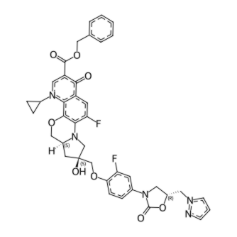 O=C(OCc1ccccc1)c1cn(C2CC2)c2c3c(c(F)cc2c1=O)N1C[C@](O)(COc2ccc(N4C[C@H](Cn5cccn5)OC4=O)cc2F)C[C@H]1CO3